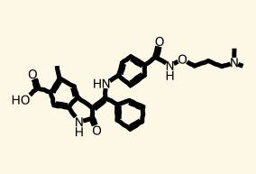 Cc1cc2c(cc1C(=O)O)NC(=O)C2=C(Nc1ccc(C(=O)NOCCCN(C)C)cc1)c1ccccc1